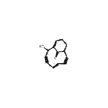 O=C1C2=CCCC1C#C/C=C/C#CC2O